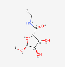 CCNC(=O)[C@H]1O[C@H](OC)[C@H](O)[C@@H]1O